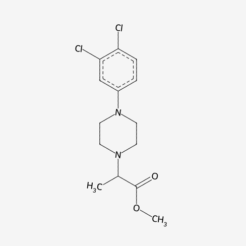 COC(=O)C(C)N1CCN(c2ccc(Cl)c(Cl)c2)CC1